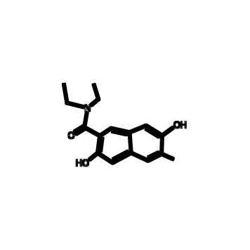 CCN(CC)C(=O)c1cc2cc(O)c(C)cc2cc1O